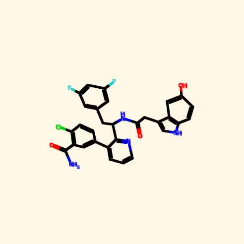 NC(=O)c1cc(-c2cccnc2C(Cc2cc(F)cc(F)c2)NC(=O)Cc2c[nH]c3ccc(O)cc23)ccc1Cl